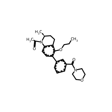 CCCOc1c(-c2cccc(C(=O)N3CCOCC3)c2)ccc2c1CC[C@H](C)N2C(C)=O